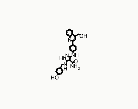 NC(=O)c1c(Nc2ccc(-c3cc(CO)c4ccccc4n3)cc2)n[nH]c1NCc1ccc(O)cc1